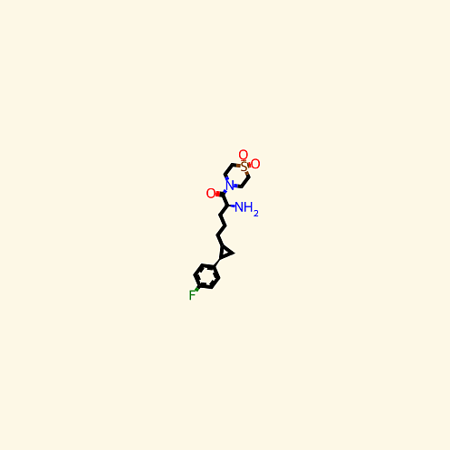 N[C@@H](CCCC1C[C@H]1c1ccc(F)cc1)C(=O)N1CCS(=O)(=O)CC1